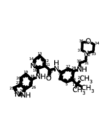 CC(C)(C)c1ccc(NC(=O)c2cccnc2Nc2ccc3cn[nH]c3c2)cc1NCCN1CCOCC1